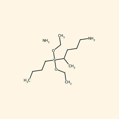 CCCC[Si](OCC)(OCC)C(C)CCCN.N